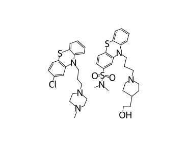 CN(C)S(=O)(=O)c1ccc2c(c1)N(CCCN1CCC(CCO)CC1)c1ccccc1S2.CN1CCN(CCCN2c3ccccc3Sc3ccc(Cl)cc32)CC1